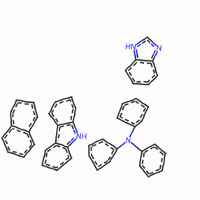 c1ccc(N(c2ccccc2)c2ccccc2)cc1.c1ccc2[nH]cnc2c1.c1ccc2c(c1)[nH]c1ccccc12.c1ccc2ccccc2c1